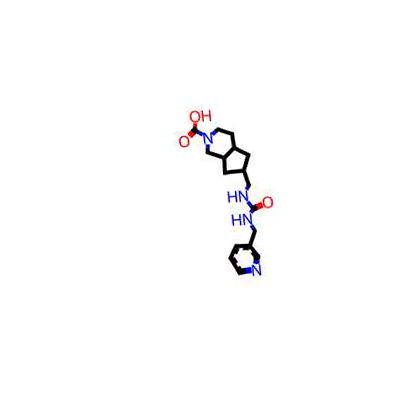 O=C(NCc1cccnc1)NCC1CC2CCN(C(=O)O)CC2C1